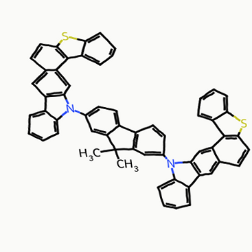 CC1(C)c2cc(-n3c4ccccc4c4cc5ccc6sc7ccccc7c6c5cc43)ccc2-c2ccc(-n3c4ccccc4c4cc5ccc6sc7ccccc7c6c5cc43)cc21